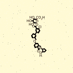 O=C(OC1O[C@H](C(=O)O)[C@@H](O)[C@H](O)[C@H]1O)c1cc(-c2cccc(COc3ccc4c(c3)CN(C3CCCC3O)C4=O)c2)ccc1Cl